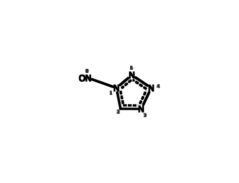 O=Nn1cnnn1